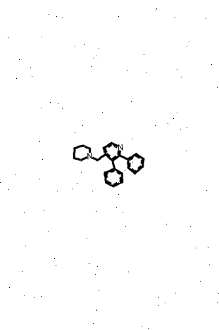 c1ccc(-c2nccc(CN3CCCCC3)c2-c2ccccc2)cc1